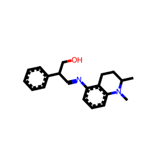 CC1CCc2c(/N=C/C(CO)c3ccccc3)cccc2N1C